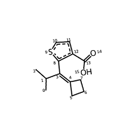 CC(C)C(=C1CCC1)c1sccc1C(=O)O